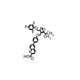 CC(C)c1onc(COc2c(F)cc(F)cc2F)c1COc1ccc(-c2ccc3nc(C(=O)O)ccc3c2)cc1